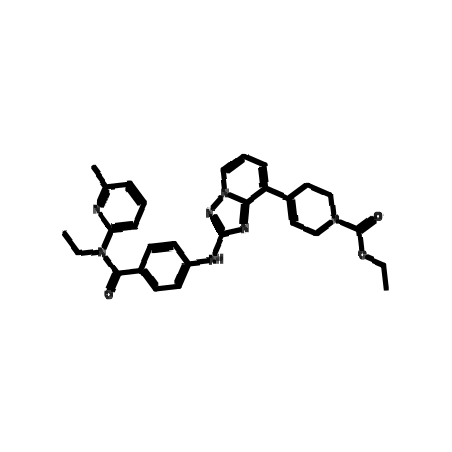 CCOC(=O)N1CC=C(c2cccn3nc(Nc4ccc(C(=O)N(CC)c5cccc(C)n5)cc4)nc23)CC1